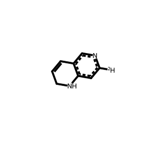 [2H]c1cc2c(cn1)C=CCN2